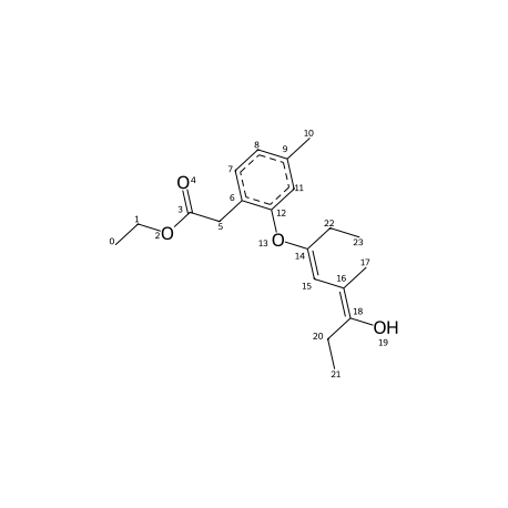 CCOC(=O)Cc1ccc(C)cc1O/C(=C/C(C)=C(/O)CC)CC